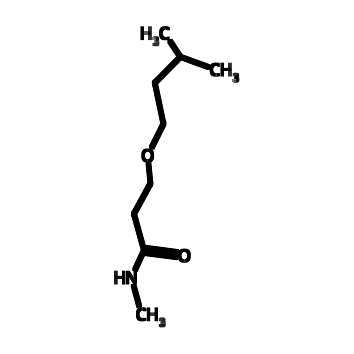 CNC(=O)CCOCCC(C)C